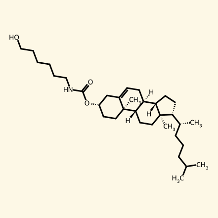 CC(C)CCC[C@@H](C)[C@H]1CC[C@H]2[C@@H]3CC=C4C[C@@H](OC(=O)NCCCCCCO)CC[C@]4(C)[C@H]3CC[C@]12C